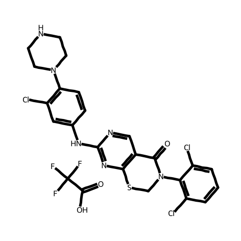 O=C(O)C(F)(F)F.O=C1c2cnc(Nc3ccc(N4CCNCC4)c(Cl)c3)nc2SCN1c1c(Cl)cccc1Cl